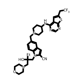 CCC(O)(CN1CCOCC1)Cn1c(C#N)cc2cc(CN3CCC(Nc4ncnc5sc(CC(F)(F)F)cc45)CC3)ccc21